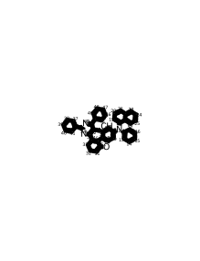 CCc1c(C2=c3c(oc4cc(N(c5ccccc5)c5cccc6ccccc56)ccc34)=CCC2)nc(-c2ccccc2)nc1-c1ccccc1